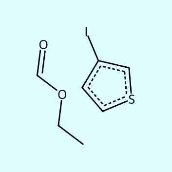 CCOC=O.Ic1ccsc1